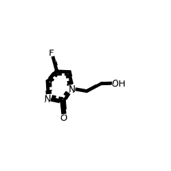 O=c1ncc(F)cn1CCO